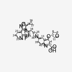 O=C(O)c1cc(O[C@@H]2CCOC2)c2cc(N3CC(/C=C/c4c(-c5cccnc5C(F)(F)F)noc4C4CC4)C3)ccc2n1